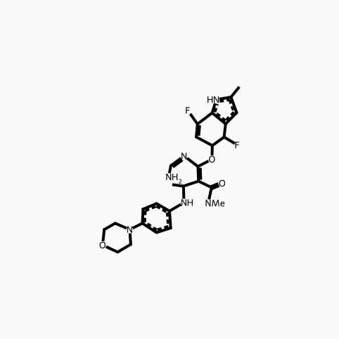 CNC(=O)/C(=C(/N=C\N)OC1C=C(F)c2[nH]c(C)cc2C1F)C(C)Nc1ccc(N2CCOCC2)cc1